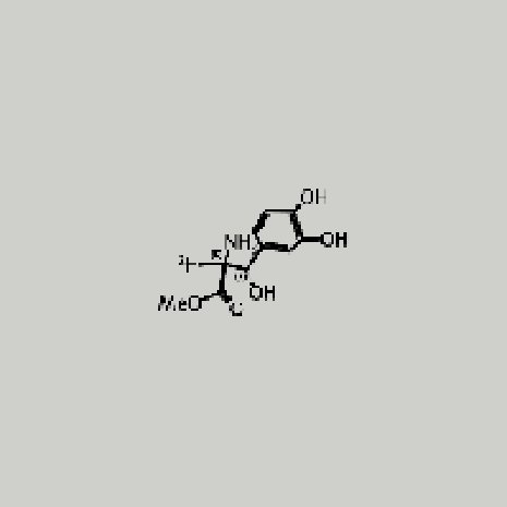 [2H][C@](N)(C(=O)OC)[C@@H](O)c1ccc(O)c(O)c1